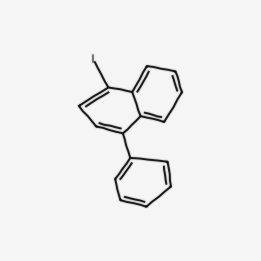 Ic1ccc(-c2ccccc2)c2ccccc12